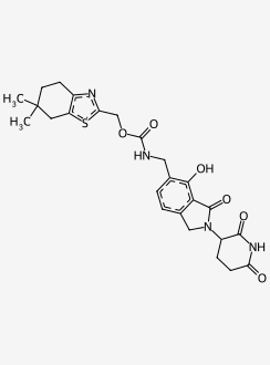 CC1(C)CCc2nc(COC(=O)NCc3ccc4c(c3O)C(=O)N(C3CCC(=O)NC3=O)C4)sc2C1